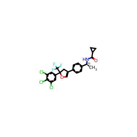 C[C@H](NC(=O)C1CC1)c1ccc(C2=COC(c3cc(Cl)c(Cl)c(Cl)c3)(C(F)(F)F)C2)cc1